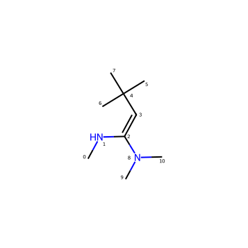 CN/C(=C\C(C)(C)C)N(C)C